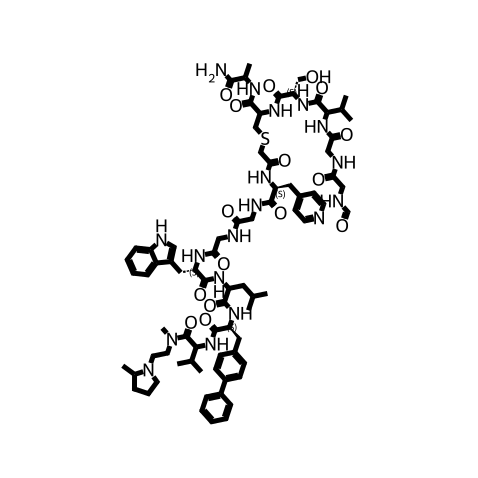 CC(C)CC(NC(=O)[C@H](Cc1c[nH]c2ccccc12)NC(=O)CNC(=O)CNC(=O)[C@H](Cc1ccncc1)NC(=O)CSCC(NC(=O)[C@H](CO)NC(=O)C(NC(=O)CNC(=O)CNC=O)C(C)C)C(=O)NC(C)C(N)=O)C(=O)N[C@@H](Cc1ccc(-c2ccccc2)cc1)C(=O)NC(C(=O)N(C)CCN1CCCC1C)C(C)C